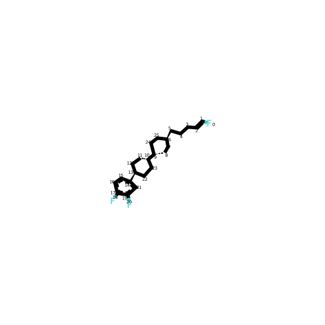 F/C=C/CCC[C@H]1CC[C@H]([C@H]2CC[C@H](c3ccc(F)c(F)c3)CC2)CC1